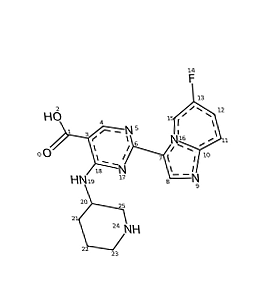 O=C(O)c1cnc(-c2cnc3ccc(F)cn23)nc1NC1CCCNC1